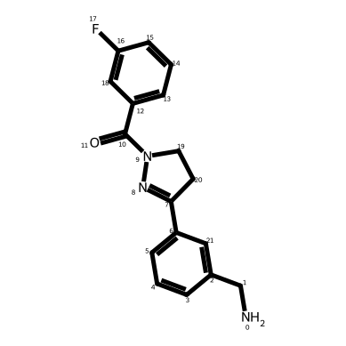 NCc1cccc(C2=NN(C(=O)c3cccc(F)c3)CC2)c1